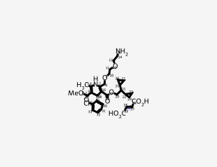 COC(=O)C1=C(C)NC(COCCOCCN)=C(C(=O)OCC(C2CC2)C2CC2)[C@@H]1c1ccccc1Cl.O=C(O)/C=C/C(=O)O